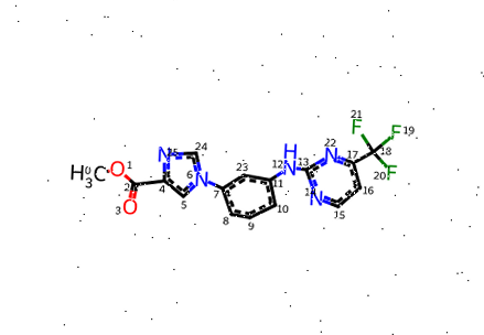 COC(=O)c1cn(-c2cccc(Nc3nccc(C(F)(F)F)n3)c2)cn1